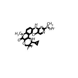 CCCN(C)c1ncc(Cl)c(Nc2ccc3c(c2)c2c(c(=O)n3C)OCC(F)(F)C(C3CC3)N2)n1